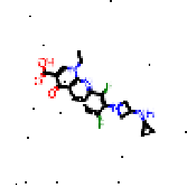 CCn1cc(C(=O)O)c(=O)c2cc3cc(F)c(N4CC(NC5CC5)C4)c(F)c3nc21